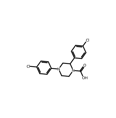 O=C(O)N1CCN(c2ccc(Cl)cc2)CC1c1ccc(Cl)cc1